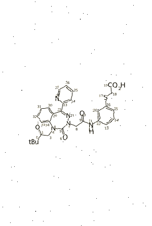 CC(C)(C)C(=O)CN1C(=O)N(CC(=O)Nc2cccc(SCC(=O)O)c2)N=C(c2ccccn2)c2ccccc21